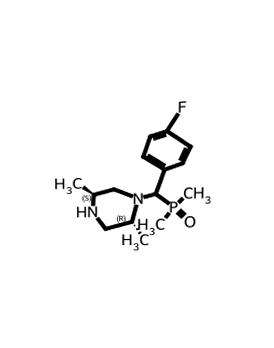 C[C@@H]1CN[C@@H](C)CN1C(c1ccc(F)cc1)P(C)(C)=O